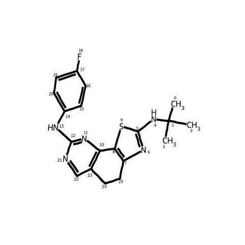 CC(C)(C)Nc1nc2c(s1)-c1nc(Nc3ccc(F)cc3)ncc1CC2